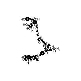 CCC1=C2CN3C(=O)c4c(ccc5c4NCC(=O)[C@]5(O)CC)C3=CC2=CC(OCc2ccc(NC(=O)[C@H](CCCNC(N)=O)NC(=O)[C@@H](NC(=O)CCCCN3C(=O)CC(SCCOCCOCCOc4cc(O)c(C(=O)CCc5ccc(O)cc5)c(O[C@@H]5O[C@H](CO)[C@@H](O)[C@H](O)[C@H]5O)c4)C3=O)C(C)C)cc2)O1